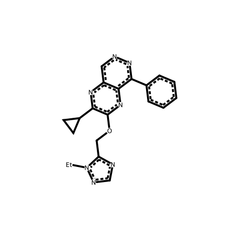 CCn1ncnc1COc1nc2c(-c3ccccc3)nncc2nc1C1CC1